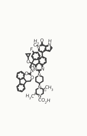 C[C@@H]1CN(C2CCN(c3nc(C(CNC(=O)OCC4c5ccccc5-c5ccccc54)(OC4CC4)c4cccc(F)c4)c4cc(-c5cn(C)c(=O)c6[nH]ccc56)ccc4n3)CC2)[C@@H](C)CN1C(=O)O